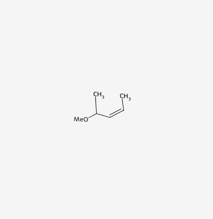 C/C=C\C(C)OC